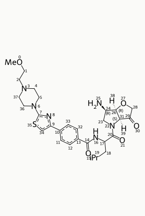 COCCN1CCN(c2nc(-c3ccc(C(=O)NC(CC(C)C)C(=O)N4C[C@@H](N)[C@H]5OCC(=O)[C@H]54)cc3)cs2)CC1